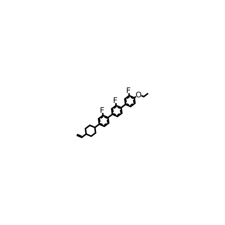 C=CC1CCC(c2ccc(-c3ccc(-c4ccc(OCC)c(F)c4)c(F)c3)c(F)c2)CC1